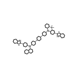 CC1(C)c2ccccc2N(c2ccc(-c3ccc(-c4ccc(N(c5ccc(-c6nc7ccccc7s6)cc5)c5cccc6ccccc56)cc4)cc3)cc2)c2ccc(-c3nc4ccccc4s3)cc21